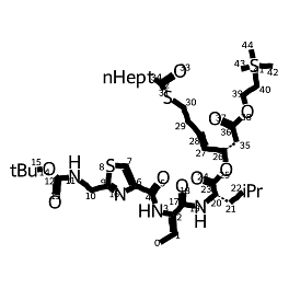 C/C=C(\NC(=O)c1csc(CNC(=O)OC(C)(C)C)n1)C(=O)N[C@@H](CC(C)C)C(=O)O[C@H](/C=C/CCSC(=O)CCCCCCC)CC(=O)OCCS(C)(C)C